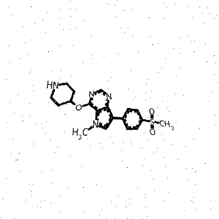 Cn1cc(-c2ccc(S(C)(=O)=O)cc2)c2ncnc(OC3CCNCC3)c21